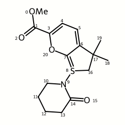 COC(=O)C1=CC=C2C(=S(N3CCCCC3=O)CC2(C)C)O1